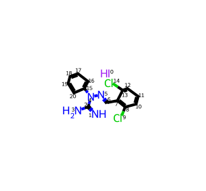 I.N=C(N)N(/N=C/c1c(Cl)cccc1Cl)c1ccccc1